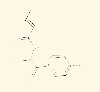 CC=CC(=O)NN(C(=O)c1ccc(Cl)cc1)C(C)(C)C